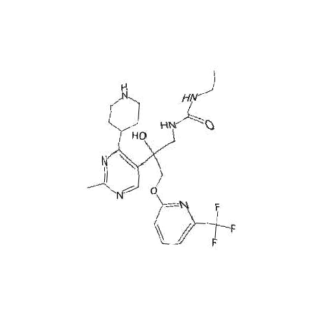 CCNC(=O)NCC(O)(COc1cccc(C(F)(F)F)n1)c1cnc(C)nc1C1CCNCC1